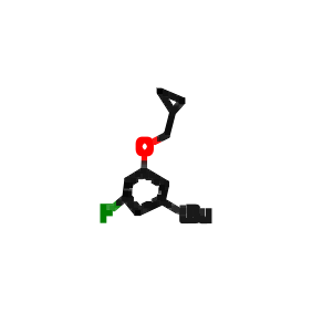 CC(C)(C)c1cc(F)cc(OCC2CC2)c1